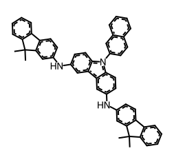 CC1(C)c2ccccc2-c2ccc(Nc3ccc4c(c3)c3cc(Nc5ccc6c(c5)C(C)(C)c5ccccc5-6)ccc3n4-c3ccc4ccccc4c3)cc21